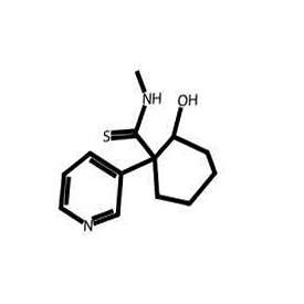 CNC(=S)C1(c2cccnc2)CCCCC1O